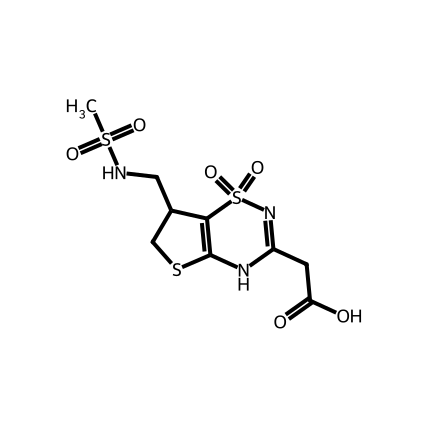 CS(=O)(=O)NCC1CSC2=C1S(=O)(=O)N=C(CC(=O)O)N2